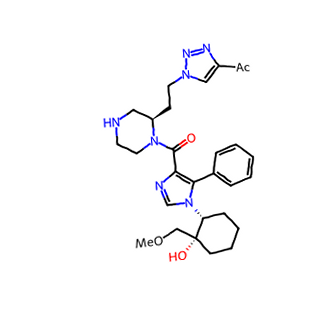 COC[C@]1(O)CCCC[C@H]1n1cnc(C(=O)N2CCNC[C@H]2CCn2cc(C(C)=O)nn2)c1-c1ccccc1